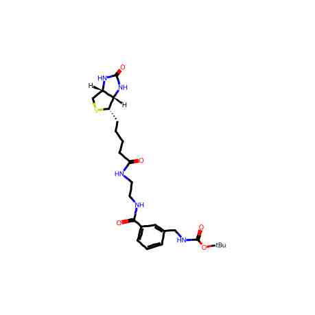 CC(C)(C)OC(=O)NCc1cccc(C(=O)NCCNC(=O)CCCC[C@@H]2SC[C@@H]3NC(=O)N[C@@H]32)c1